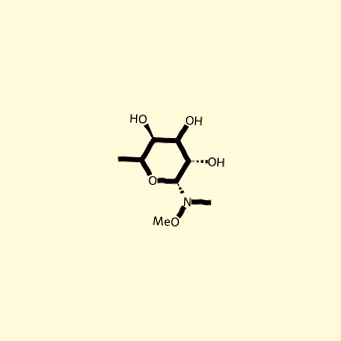 CON(C)[C@@H]1OC(C)[C@@H](O)C(O)[C@@H]1O